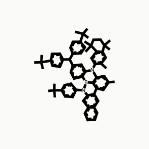 Cc1cc2c3c(c1)N(c1cc4c(cc1C)C(C)(C)CCC4(C)C)c1cc(C(c4ccc(C(C)(C)C)cc4)c4ccc(C(C)(C)C)cc4)ccc1B3N(c1ccc(C(C)(C)C)cc1)c1cc3ccccc3cc1-2